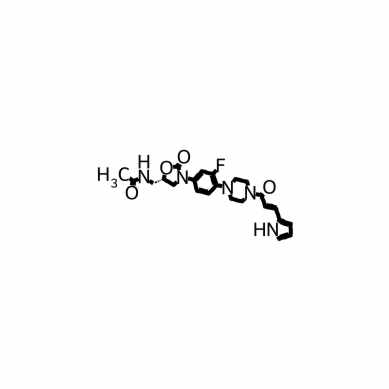 CC(=O)NC[C@H]1CN(c2ccc(N3CCN(C(=O)C=Cc4ccc[nH]4)CC3)c(F)c2)C(=O)O1